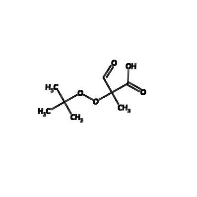 CC(C)(C)OOC(C)(C=O)C(=O)O